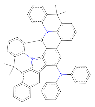 CC1(C)c2ccccc2N2B3c4cccc5c4-n4c6c(c7ccccc7cc6c6c(N(c7ccccc7)c7ccccc7)cc(c3c64)-c3cccc1c32)C5(C)C